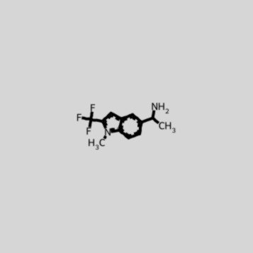 CC(N)c1ccc2c(c1)cc(C(F)(F)F)n2C